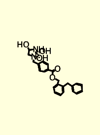 O=C(OCc1ccccc1Cc1ccccc1)c1ccc(CN2CC(O)NS2(O)O)cc1